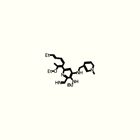 CC/C=C/C=C\C(=C(/C)OCC)c1cc(NCC2=CN(C)CC=C2)c(NC(C)CC)c(C=N)n1